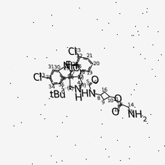 CC(C)(C)C[C@H]1N[C@@H](C(=O)NC2CC(OC(=O)CN)C2)[C@H](c2cccc(Cl)c2F)[C@@]12C(=O)Nc1cc(Cl)ccc12